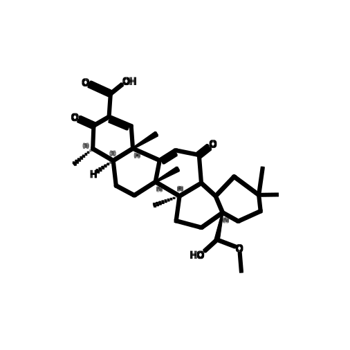 COC(O)[C@]12CCC(C)(C)CC1C1C(=O)C=C3[C@@]4(C)C=C(C(=O)O)C(=O)[C@@H](C)[C@@H]4CC[C@@]3(C)[C@]1(C)CC2